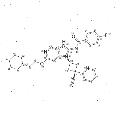 N#C[C@]1(c2ccccn2)C[C@H](n2/c(=N/C(=O)c3ccc(F)cc3)[nH]c3cnc(OCCN4CCCCC4)cc32)C1